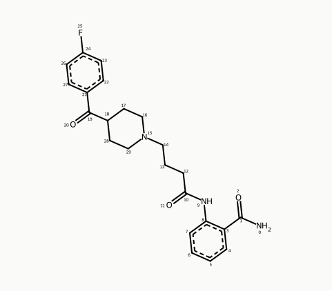 NC(=O)c1ccccc1NC(=O)CCCN1CCC(C(=O)c2ccc(F)cc2)CC1